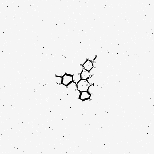 Cc1ccc(C2Sc3ccccc3NC(=O)C2CN2CCN(C)CC2)cc1